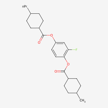 CCCC1CCC(C(=O)Oc2ccc(OC(=O)C3CCC(C)CC3)c(F)c2)CC1